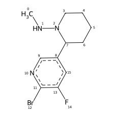 CNN1CCCCC1c1cnc(Br)c(F)c1